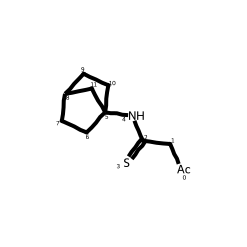 CC(=O)CC(=S)NC12CCC(CC1)C2